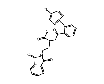 O=C(CC(CCN1C(=O)c2ccccc2C1=O)C(=O)O)c1ccccc1-c1ccc(Cl)cc1